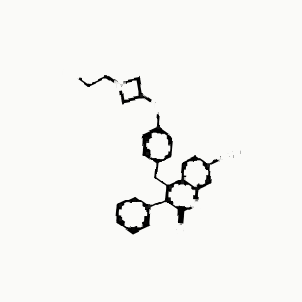 CCCN1CC(Oc2ccc(Cc3c(-c4ccccc4)c(=O)oc4cc(O)ccc34)cc2)C1